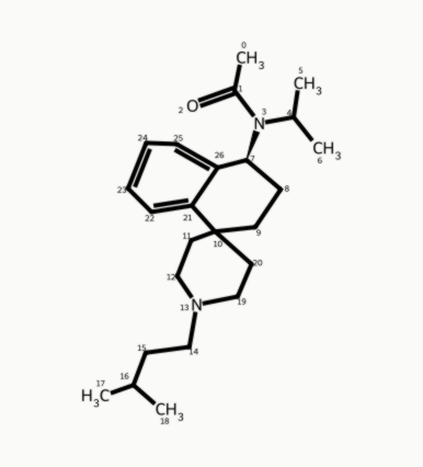 CC(=O)N(C(C)C)[C@H]1CCC2(CCN(CCC(C)C)CC2)c2ccccc21